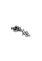 CCc1cc2c(=O)c(C(=O)O)cn(CC)c2cc1N1CCN(C(=O)OC(P(=O)(O)O)P(=O)(O)O)CC1